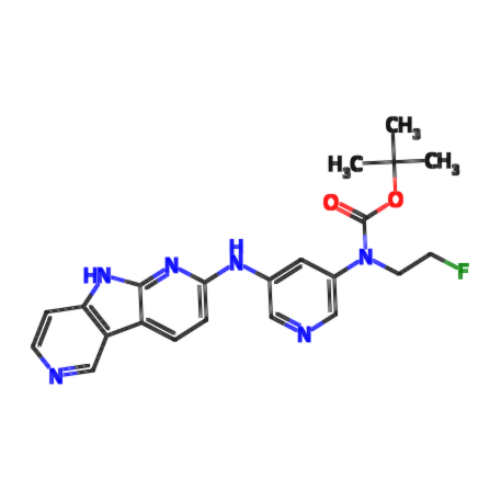 CC(C)(C)OC(=O)N(CCF)c1cncc(Nc2ccc3c(n2)[nH]c2ccncc23)c1